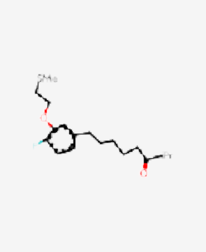 CSCCOc1cc(CCCCCC(=O)C(C)C)ccc1F